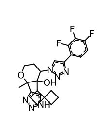 CC1(c2c[nH]nn2)OCCC(n2cc(-c3ccc(F)c(F)c3F)nn2)C1(O)C1CCC12CCC2